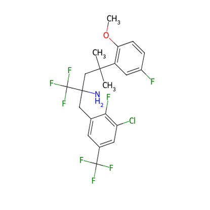 COc1ccc(F)cc1C(C)(C)CC(N)(Cc1cc(C(F)(F)F)cc(Cl)c1F)C(F)(F)F